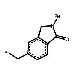 [2H]N1Cc2cc(CBr)ccc2C1=O